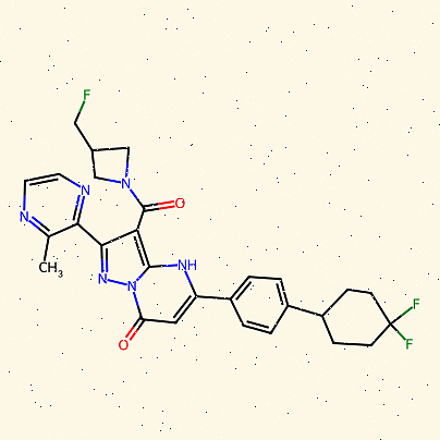 Cc1nccnc1-c1nn2c(=O)cc(-c3ccc(C4CCC(F)(F)CC4)cc3)[nH]c2c1C(=O)N1CC(CF)C1